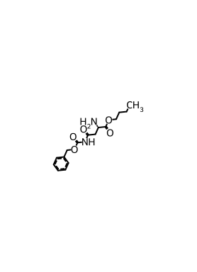 CCCCOC(=O)[C@H](N)CC(=O)NC(=O)OCc1ccccc1